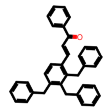 O=C(C=Cc1ccc(Cc2ccccc2)c(Cc2ccccc2)c1Cc1ccccc1)c1ccccc1